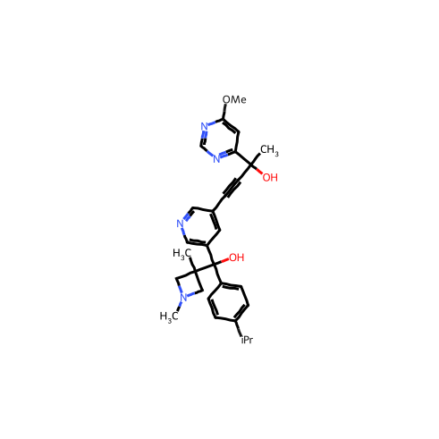 COc1cc(C(C)(O)C#Cc2cncc(C(O)(c3ccc(C(C)C)cc3)C3(C)CN(C)C3)c2)ncn1